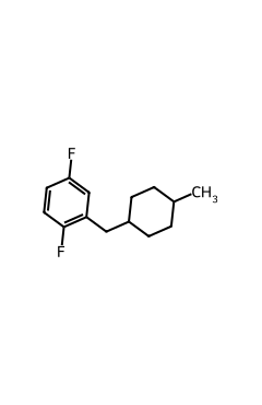 CC1CCC(Cc2cc(F)ccc2F)CC1